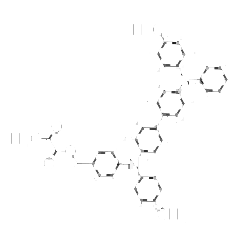 CC(=O)C(=O)OCc1ccc(N(c2ccc(C)cc2)c2ccc(-c3ccc(N(c4ccccc4)c4ccc(C)cc4)cc3)cc2)cc1